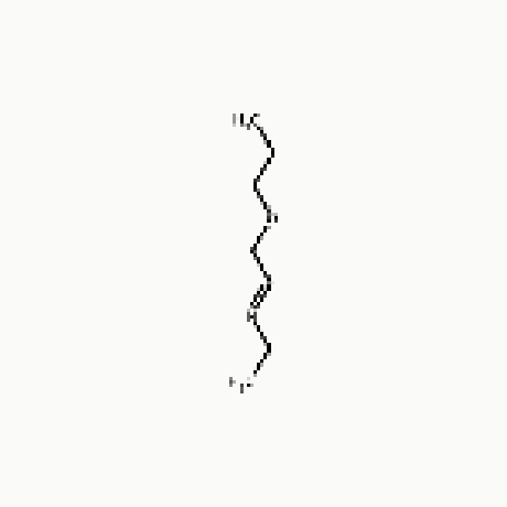 CCCOCC=NCC